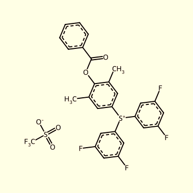 Cc1cc([S+](c2cc(F)cc(F)c2)c2cc(F)cc(F)c2)cc(C)c1OC(=O)c1ccccc1.O=S(=O)([O-])C(F)(F)F